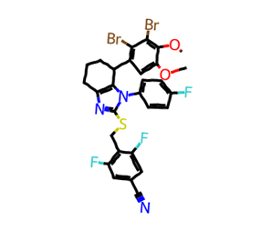 COc1cc(C2CCCc3nc(SCc4c(F)cc(C#N)cc4F)n(-c4ccc(F)cc4)c32)c(Br)c(Br)c1OC